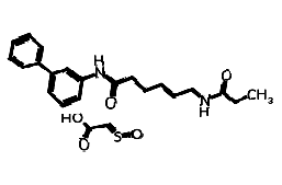 CCC(=O)NCCCCCC(=O)Nc1cccc(-c2ccccc2)c1.O=S=CC(=O)O